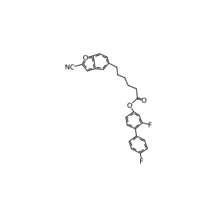 N#Cc1cc2cc(CCCCCC(=O)Oc3ccc(-c4ccc(F)cc4)c(F)c3)ccc2o1